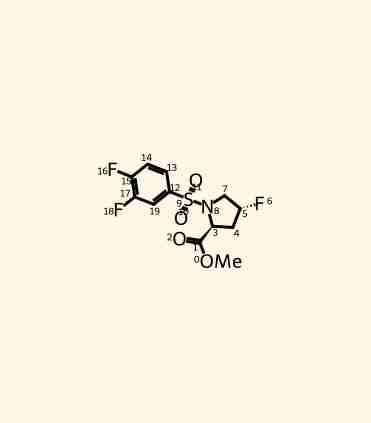 COC(=O)[C@@H]1C[C@@H](F)CN1S(=O)(=O)c1ccc(F)c(F)c1